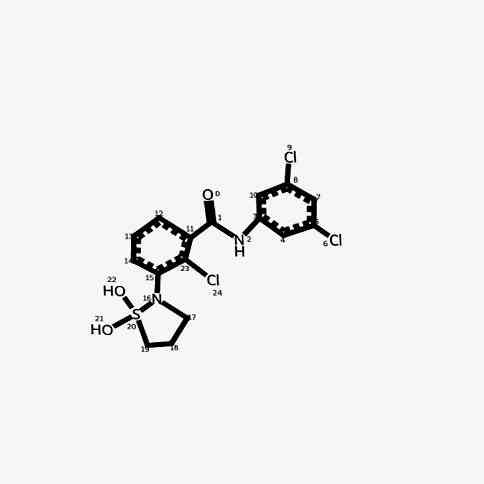 O=C(Nc1cc(Cl)cc(Cl)c1)c1cccc(N2CCCS2(O)O)c1Cl